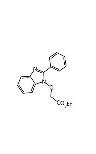 CCOC(=O)COn1c(-c2ccccc2)nc2ccccc21